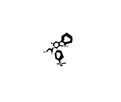 C[C@H]1Cc2c([nH]c3ccccc23)[C@H](c2ccc(S(C)(C)C)cc2)N1C(=O)CCl